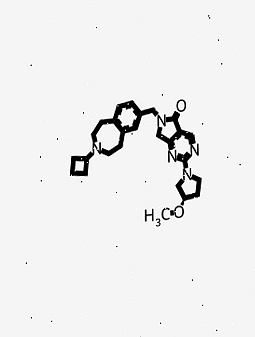 CO[C@@H]1CCN(c2ncc3c(n2)CN(Cc2ccc4c(c2)CCN(C2CCC2)CC4)C3=O)C1